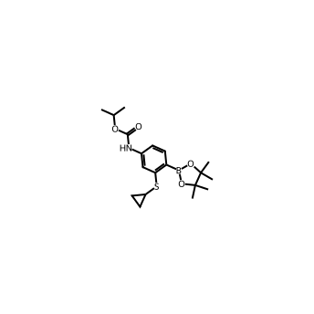 CC(C)OC(=O)Nc1ccc(B2OC(C)(C)C(C)(C)O2)c(SC2CC2)c1